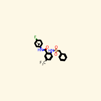 O=C(NC12CCC(F)(CC1)CC2)c1cc(C(F)(F)F)ccc1NS(=O)(=O)Cc1ccccc1